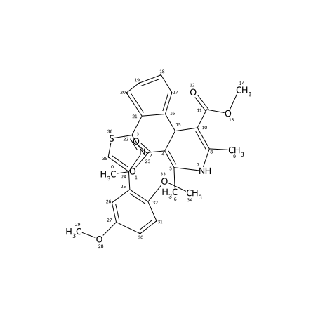 COC(=O)C1=C(C)NC(C)=C(C(=O)OC)C1c1ccccc1-c1nc(-c2cc(OC)ccc2OC)cs1